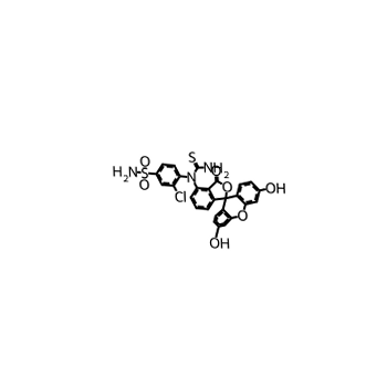 NC(=S)N(c1ccc(S(N)(=O)=O)cc1Cl)c1cccc2c1C(=O)OC21c2ccc(O)cc2Oc2cc(O)ccc21